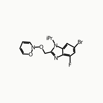 CC(C)n1c(CON2C=CC=CO2)nc2c(F)cc(Br)cc21